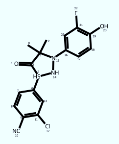 CC1(C)C(=O)[SH](c2ccc(C#N)c(Cl)c2)NN1c1ccc(O)c(F)c1